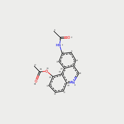 CC(=O)Nc1ccc2cnc3cccc(OC(C)=O)c3c2c1